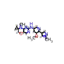 COc1cc(Nc2ncc3c(n2)N(C)C2(CC2)CO3)cnc1-c1cnn(C)c1